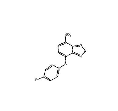 O=[N+]([O-])c1ccc(Sc2ccc(F)cc2)c2c1=NCN=2